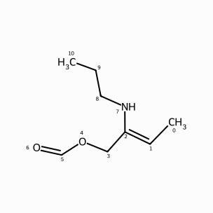 CC=C(COC=O)NCCC